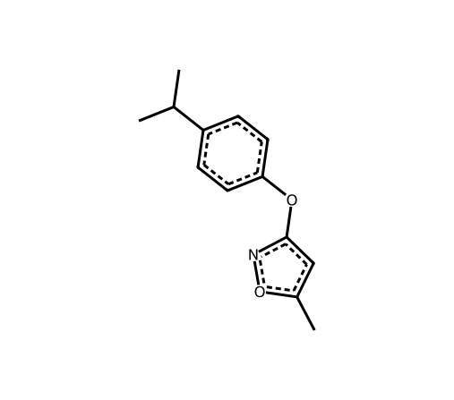 Cc1cc(Oc2ccc(C(C)C)cc2)no1